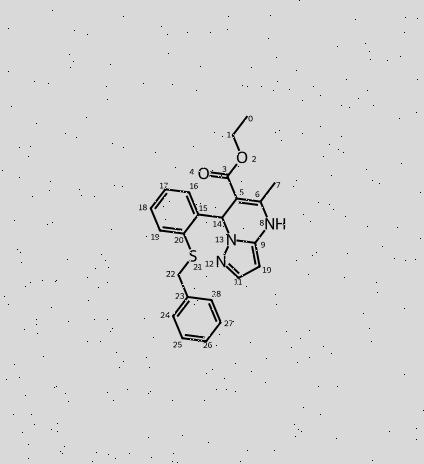 CCOC(=O)C1=C(C)Nc2ccnn2C1c1ccccc1SCc1ccccc1